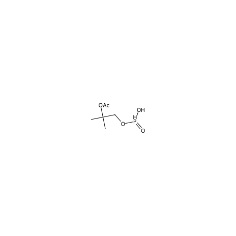 CC(=O)OC(C)(C)CO[PH](=O)O